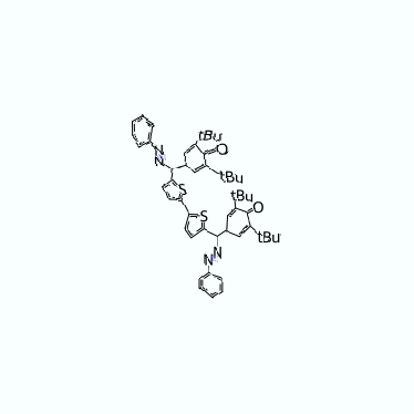 CC(C)(C)C1=CC(C(/N=N/c2ccccc2)c2ccc(-c3ccc(C(/N=N/c4ccccc4)C4C=C(C(C)(C)C)C(=O)C(C(C)(C)C)=C4)s3)s2)C=C(C(C)(C)C)C1=O